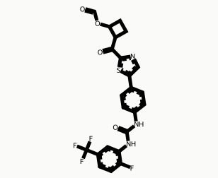 O=COC1CCC1C(=O)c1ncc(-c2ccc(NC(=O)Nc3cc(C(F)(F)F)ccc3F)cc2)s1